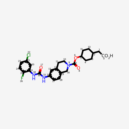 O=C(O)CC1CCC(OC(=O)N2CCc3cc(NC(=O)Nc4cc(Cl)ccc4F)ccc3C2)CC1